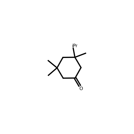 CC(C)C1(C)CC(=O)CC(C)(C)C1